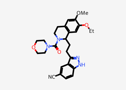 CCOc1cc2c(cc1OC)CCN(C(=O)N1CCOCC1)C2CCc1n[nH]c2ccc(C#N)cc12